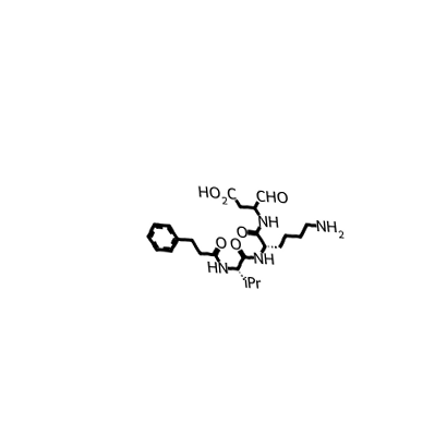 CC(C)[C@H](NC(=O)CCc1ccccc1)C(=O)N[C@@H](CCCCN)C(=O)NC(C=O)CC(=O)O